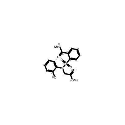 COC(=O)CN(c1ccccc1Cl)S(=O)(=O)c1ccccc1C(=O)OC